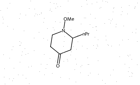 CCCC1CC(=O)CCN1OC